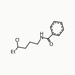 CCC(Cl)CCCNC(=O)c1ccccc1